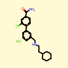 Cl.NC(=O)c1ccc(-c2cccc(CNCCC3CCCCC3)c2)c(Cl)c1